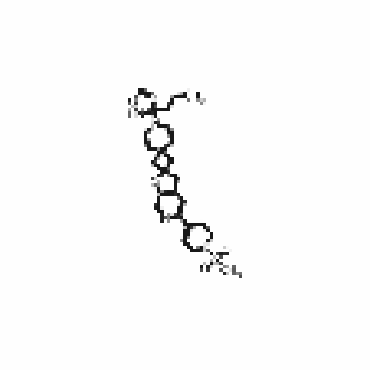 CCCC1(N2CCC3(CC2)CC2(Cc4cc(C5=CCN(S(C)(=O)=O)CC5)ncc4O2)C3)N=CON1